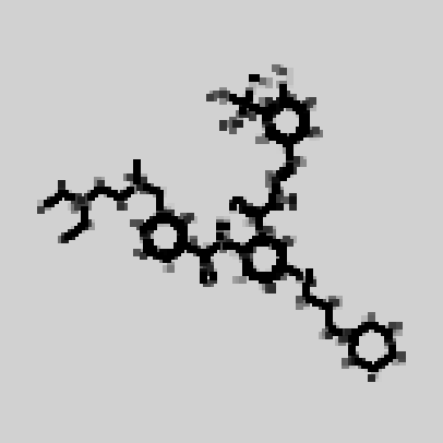 CCN(CC)CCN(C)Cc1cccc(C(=O)Nc2ccc(OCCCN3CCCCC3)cc2C(=O)NN=Cc2ccc(Cl)c(C(F)(F)F)c2)c1